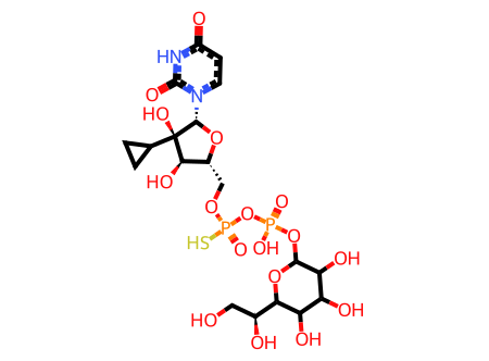 O=c1ccn([C@@H]2O[C@H](COP(=O)(S)OP(=O)(O)OC3OC([C@@H](O)CO)C(O)C(O)C3O)[C@@H](O)[C@]2(O)C2CC2)c(=O)[nH]1